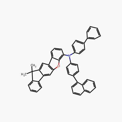 CC1(C)c2ccccc2-c2cc3oc4c(N(c5ccc(-c6ccccc6)cc5)c5ccc(-c6cccc7ccccc67)cc5)cccc4c3cc21